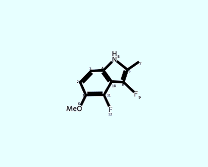 COc1ccc2[nH]c(C)c(F)c2c1F